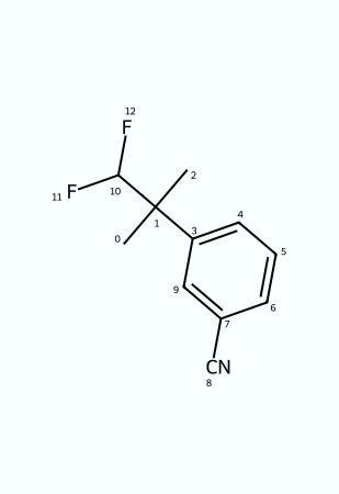 CC(C)(c1cccc(C#N)c1)C(F)F